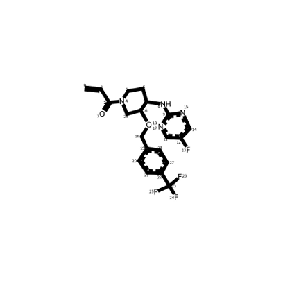 C=CC(=O)N1CCC(Nc2ncc(F)cn2)C(OCc2ccc(C(F)(F)F)cc2)C1